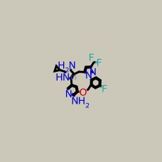 NC/C1=C(\NCC2CC2)c2cnc(N)c(c2)OCc2cc(F)ccc2-n2nc(C(F)F)cc2C1